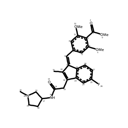 COC(=O)c1c(OC)cc(/C=C2/C(C)=C(CC(=O)NC3CCN(C)C3)c3cc(F)ccc32)cc1OC